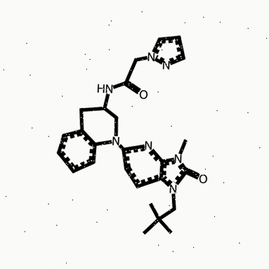 Cn1c(=O)n(CC(C)(C)C)c2ccc(N3CC(NC(=O)Cn4cccn4)Cc4ccccc43)nc21